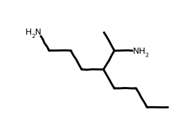 CCCCC(CCCN)C(C)N